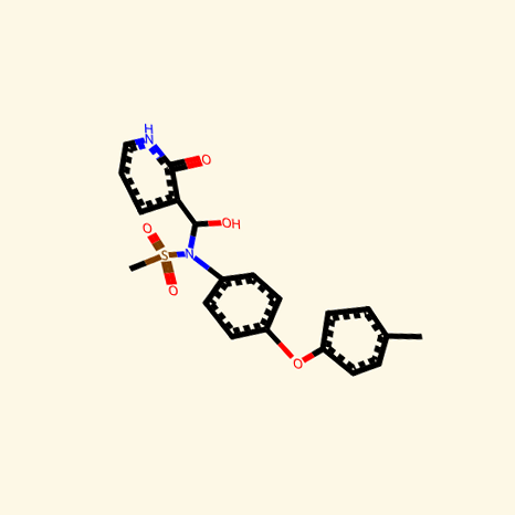 Cc1ccc(Oc2ccc(N(C(O)c3ccc[nH]c3=O)S(C)(=O)=O)cc2)cc1